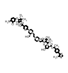 Cc1ncsc1-c1ccc([C@H](C)OC(=O)[C@H]2C[C@@H](O)CN2C(=O)C(NC(=O)CN2CCN(CCN3CCN(c4ccc(C(=O)O[C@H]5C(C)(C)[C@H](Oc6ccc(N)c(Cl)c6)C5(C)C)cn4)C[C@H]3CO)CC2)C(C)(C)C)cc1